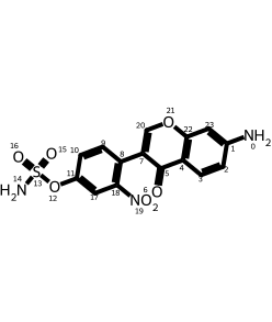 Nc1ccc2c(=O)c(-c3ccc(OS(N)(=O)=O)cc3[N+](=O)[O-])coc2c1